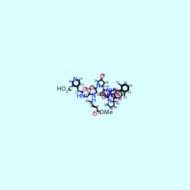 COC(=O)/C=C/CC[C@H](NC(=O)Cc1ccncc1C(=O)O)C(=O)N[C@H](C(=O)N1CC(=O)C[C@H]1C(=O)N[C@H](C(=O)N1CCC[C@@]1(C)C(=O)N[C@H](C)COc1c(C)cccc1C)C1CCCCC1)C(C)(C)C